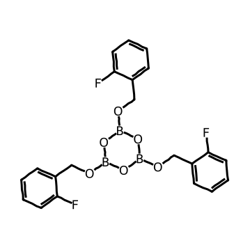 Fc1ccccc1COB1OB(OCc2ccccc2F)OB(OCc2ccccc2F)O1